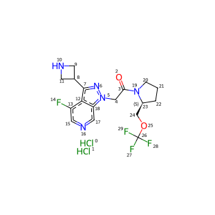 Cl.Cl.O=C(Cn1nc(C2CNC2)c2c(F)cncc21)N1CCC[C@H]1COC(F)(F)F